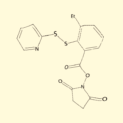 CCc1cccc(C(=O)ON2C(=O)CCC2=O)c1SSc1ccccn1